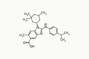 Cc1cc2c(cc1C(=O)O)nc(Nc1ccc(C(C)C)cc1)n2[C@@H]1CC(C)CC(C)(C)C1